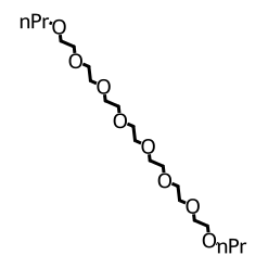 CCCOCCOCCOCCOCCOCCOCCOCCOCCC